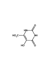 O=C(O)c1[nH]c(=O)[nH]c(=O)c1O